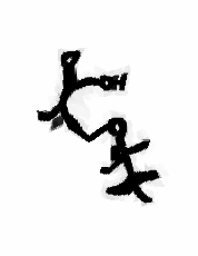 C[C@H](CO[Si](C)(C)C(C)(C)C)C(=O)O